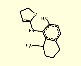 Cc1ccc2c(c1NC1=NCCO1)C(C)CCC2